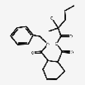 CCCC(C)(O)C(=O)OC(=O)C1CCCCC1C(=O)OCc1ccccc1